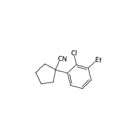 CCc1cccc(C2(C#N)CCCC2)c1Cl